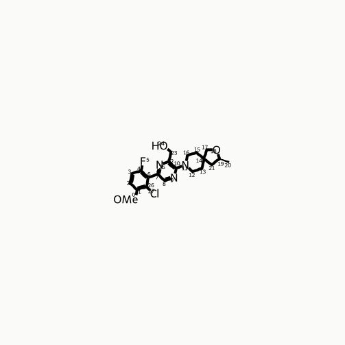 COc1ccc(F)c(-c2cnc(N3CCC4(CC3)CO[C@@H](C)C4)c(CO)n2)c1Cl